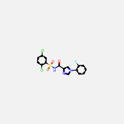 O=C(NS(=O)(=O)c1cc(Cl)ccc1Cl)c1cn(-c2ccccc2F)cn1